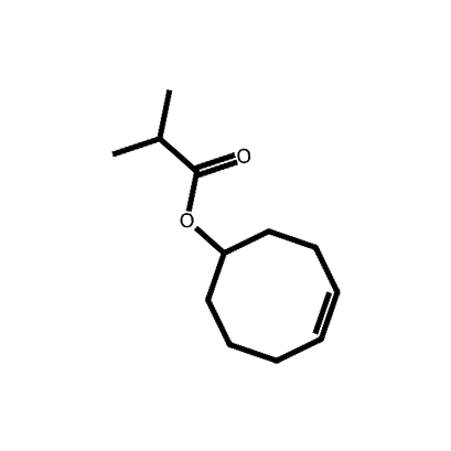 CC(C)C(=O)OC1CCC=CCCC1